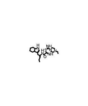 CC/C=C(\CC1=CNC2CCCCC12)NC(=O)C(=N)SC(=N)N1CCN(CC)CC1